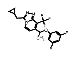 C[C@H](Oc1cc(F)cc(F)c1)c1ccn2c(CC3CC3)nnc2c1C(F)(F)F